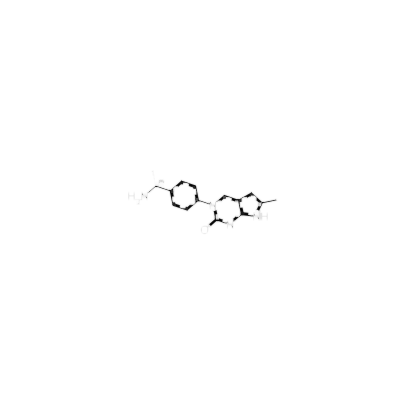 Cc1cc2cn(-c3ccc([C@@H](C)N)cc3)c(=O)nc2[nH]1